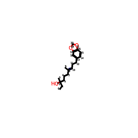 CCC(C)(O)CCC/C(C)=C/CCc1ccc2c(c1)OCO2